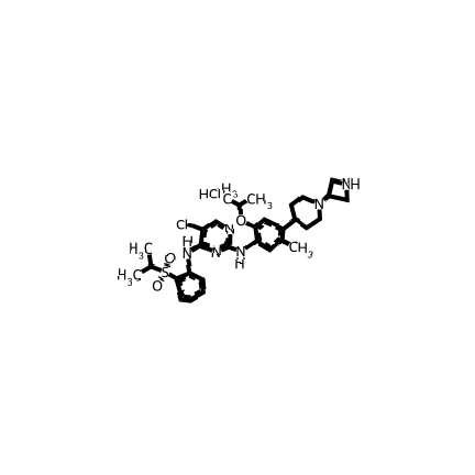 Cc1cc(Nc2ncc(Cl)c(Nc3ccccc3S(=O)(=O)C(C)C)n2)c(OC(C)C)cc1C1CCN(C2CNC2)CC1.Cl